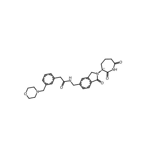 O=C(Cc1cccc(CN2CCOCC2)c1)NCc1ccc2c(c1)CN([C@H]1CCCC(=O)NC1=O)C2=O